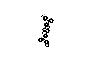 C[Si](C)(C)c1ccc(N(c2ccccc2)c2ccc3c(c2)Oc2ccc4c5c(ccc-3c25)Oc2cc(N(c3ccccc3)c3ccc5ccccc5c3)ccc2-4)cc1